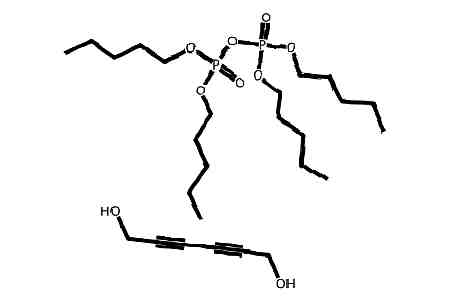 CCCCCOP(=O)(OCCCCC)OP(=O)(OCCCCC)OCCCCC.OCC#CC#CCO